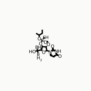 BC(B)(O)C1OC(n2ccc(=O)[nH]c2=O)C(OC)C1OP(=O)(S)OC(C)CC